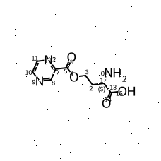 N[C@@H](CCOC(=O)c1cnccn1)C(=O)O